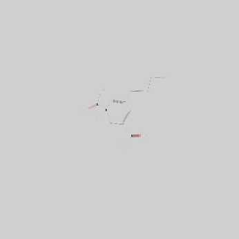 CC1(C(=O)O)C=C(CCCCl)C=C(C(=O)O)C1